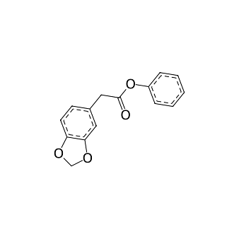 O=C(Cc1ccc2c(c1)OCO2)Oc1ccccc1